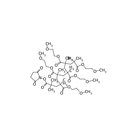 COCCOC(=O)C(C)(Br)CC(C)(CC(C)(CC(C)(CC(C)(CC(C)(C)C(=O)ON1C(=O)CCC1=O)C(=O)OCCOC)C(=O)OCCOC)C(=O)OCCOC)C(=O)OCCOC